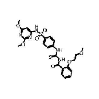 COCCOc1ccccc1C(=O)NC(=S)Nc1ccc(S(=O)(=O)Nc2cc(OC)nc(OC)n2)cc1